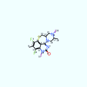 Cc1c(F)c2c3c(nc(=O)n(I)c3c1F)N1CC(C)N(I)CC1CS2